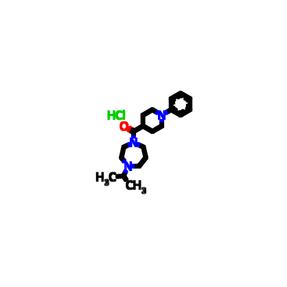 CC(C)N1CCCN(C(=O)C2CCN(c3ccccc3)CC2)CC1.Cl